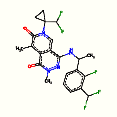 Cc1c(=O)n(C2(C(F)F)CC2)cc2c(NC(C)c3cccc(C(F)F)c3F)nn(C)c(=O)c12